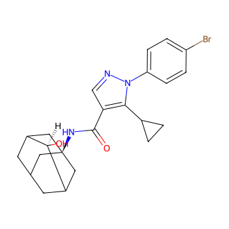 O=C(N[C@]12CC3CC(C1)[C@H](O)C(C3)C2)c1cnn(-c2ccc(Br)cc2)c1C1CC1